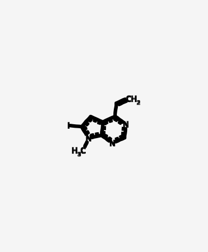 C=Cc1ncnc2c1cc(I)n2C